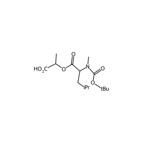 CC(C)CC(C(=O)OC(C)C(=O)O)N(C)C(=O)OC(C)(C)C